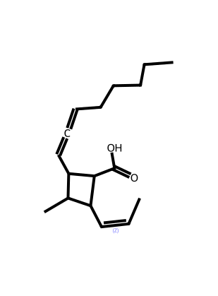 C/C=C\C1C(C)C(C=C=CCCCCC)C1C(=O)O